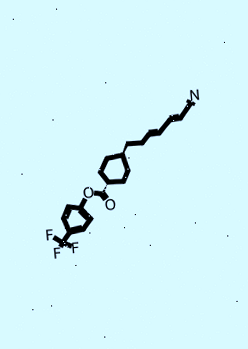 N#CC=CC=CCC[C@H]1CC[C@H](C(=O)Oc2ccc(C(F)(F)F)cc2)CC1